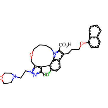 CCc1nn(CCN2CCOCC2)c2c1-c1c(Cl)ccc3c(CCCOc4cccc5ccccc45)c(C(=O)O)n(c13)CCCCOC2